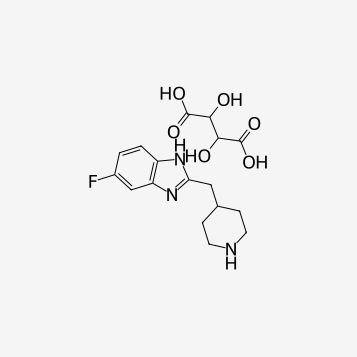 Fc1ccc2[nH]c(CC3CCNCC3)nc2c1.O=C(O)C(O)C(O)C(=O)O